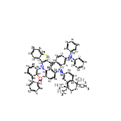 CC1(C)CCC(C)(C)c2cc(N3c4cc(N(c5ccccc5)c5ccccc5)ccc4B4c5sc6ccccc6c5N(c5cccc6c5oc5ccccc56)c5cccc3c54)ccc21